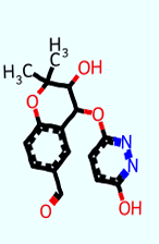 CC1(C)Oc2ccc(C=O)cc2C(Oc2ccc(O)nn2)C1O